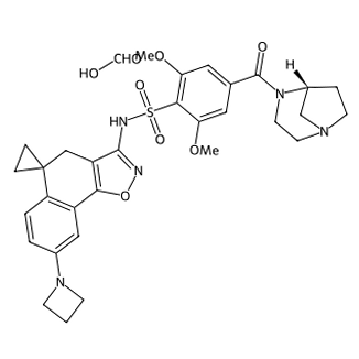 COc1cc(C(=O)N2CCN3CC[C@@H]2C3)cc(OC)c1S(=O)(=O)Nc1noc2c1CC1(CC1)c1ccc(N3CCC3)cc1-2.O=CO